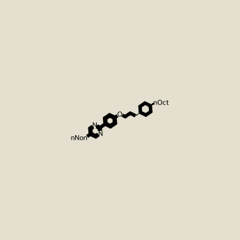 CCCCCCCCCc1cnc(-c2ccc(OCCC[C@H]3CC[C@H](CCCCCCCC)CC3)cc2)nc1